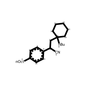 CCCCCCCCc1ccc(C(C#N)CC2(CCCC)CCCCC2)cc1